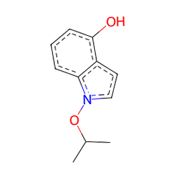 CC(C)On1ccc2c(O)cccc21